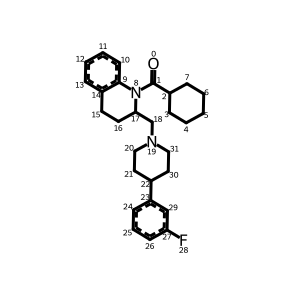 O=C(C1CCCCC1)N1c2ccccc2CCC1CN1CCC(c2cccc(F)c2)CC1